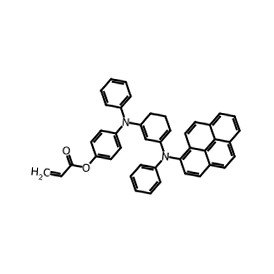 C=CC(=O)Oc1ccc(N(C2=CC(N(c3ccccc3)c3ccc4ccc5cccc6ccc3c4c56)=CCC2)c2ccccc2)cc1